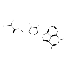 CC(C)C(N)C(=O)OC[C@H]1O[C@@H](n2cc3c4c(ncnc42)N(C)N=C3N)[C@H](O)[C@@H]1O